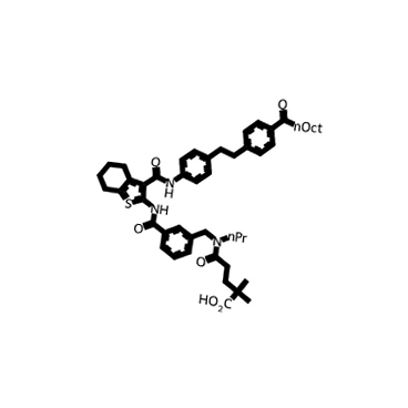 CCCCCCCCC(=O)c1ccc(CCc2ccc(NC(=O)c3c(NC(=O)c4cccc(CN(CCC)C(=O)CCC(C)(C)C(=O)O)c4)sc4c3CCCC4)cc2)cc1